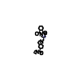 O=C(c1ccc2c(ccn2C/C(=C/F)CN2C(=O)c3ccccc3C2=O)c1)N1CCC1